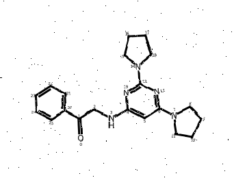 O=C(CNc1cc(N2CCCC2)nc(N2CCCC2)n1)c1ccccc1